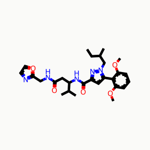 CCC(C)Cn1nc(C(=O)NC(CC(=O)NCc2ncco2)C(C)C)cc1-c1c(OC)cccc1OC